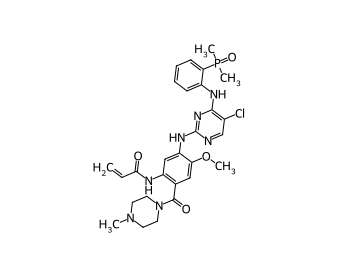 C=CC(=O)Nc1cc(Nc2ncc(Cl)c(Nc3ccccc3P(C)(C)=O)n2)c(OC)cc1C(=O)N1CCN(C)CC1